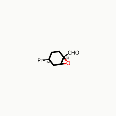 CC(C)[C@H]1CC[C@]2(C=O)OC2C1